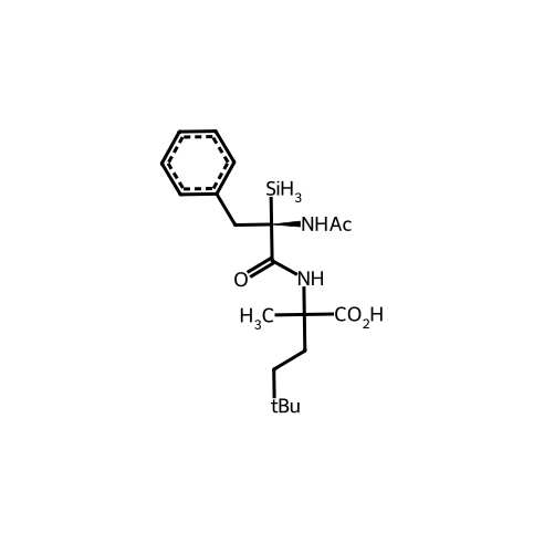 CC(=O)N[C@]([SiH3])(Cc1ccccc1)C(=O)NC(C)(CCC(C)(C)C)C(=O)O